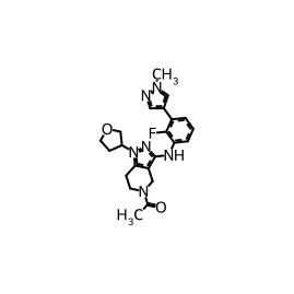 CC(=O)N1CCc2c(c(Nc3cccc(-c4cnn(C)c4)c3F)nn2C2CCOC2)C1